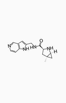 C[C@]12C[C@@H](C(=O)NCc3cc4cnccc4[nH]3)N[C@H]1C2